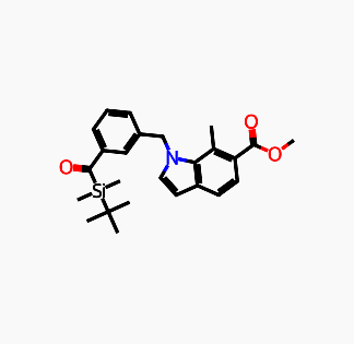 COC(=O)c1ccc2ccn(Cc3cccc(C(=O)[Si](C)(C)C(C)(C)C)c3)c2c1C